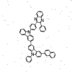 c1ccc(-c2nc3ccccc3nc2-c2ccc(-n3c4ccccc4c4cc(-c5ccc6c(c5)c5cc(-c7ccc8ccccc8c7)ccc5n6-c5ccccc5)ccc43)cc2)cc1